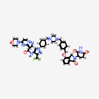 CN(C(=O)c1cnn2ccc(N3CCOCC3)nc12)c1cn([C@H]2CC[C@H](CN3CCN(Cc4ccc(COc5cccc6c5CN(C5CCC(=O)NC5=O)C6=O)cc4)CC3)CC2)nc1C(F)F